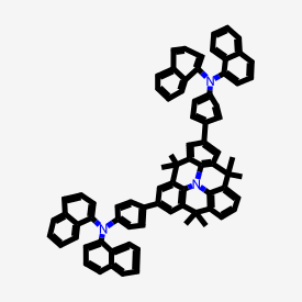 CC1(C)c2cccc3c2N2c4c1cc(-c1ccc(N(c5cccc6ccccc56)c5cccc6ccccc56)cc1)cc4C(C)(C)c1cc(-c4ccc(N(c5cccc6ccccc56)c5cccc6ccccc56)cc4)cc(c12)C3(C)C